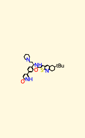 CC(C)(C)[C@H]1CCc2nc3sc(C(=O)N[C@H](CCN4CCCCC4)c4ccc(-c5ccc(=O)[nH]c5)cc4)cc3cc2C1